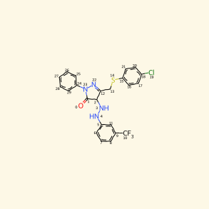 O=C1C(NNc2cccc(C(F)(F)F)c2)C(CSc2ccc(Cl)cc2)=NN1c1ccccc1